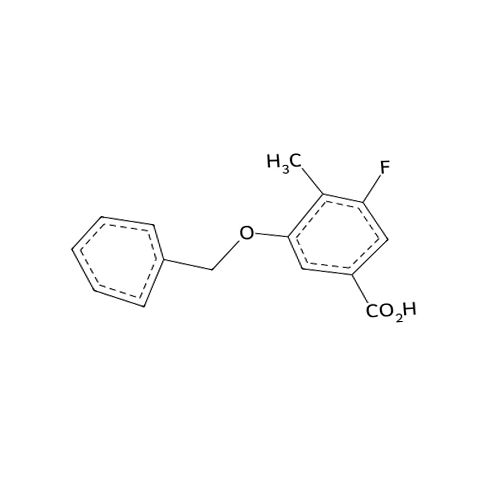 Cc1c(F)cc(C(=O)O)cc1OCc1ccccc1